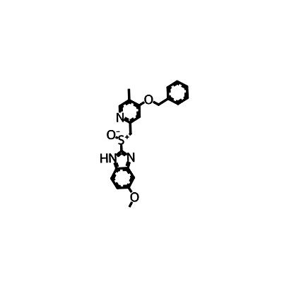 COc1ccc2[nH]c([S+]([O-])Cc3cc(OCc4ccccc4)c(C)cn3)nc2c1